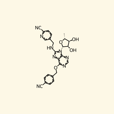 C[C@H]1O[C@@H](n2c(NCc3ccc(C#N)nc3)nc3c(OCc4ccc(C#N)cc4)ncnc32)[C@H](O)[C@@H]1O